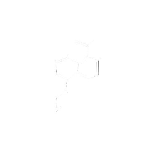 C=C(C)c1cccc2c(OC[SiH3])cccc12